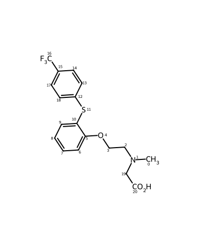 CN(CCOc1ccccc1Sc1ccc(C(F)(F)F)cc1)CC(=O)O